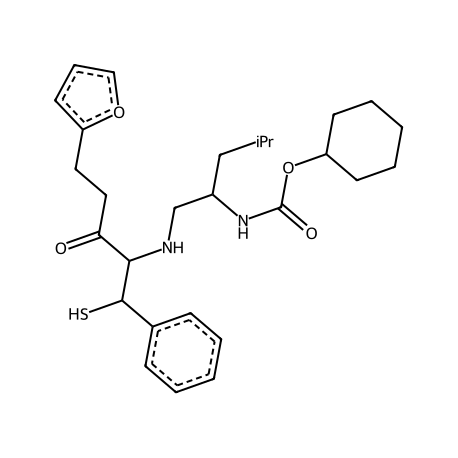 CC(C)CC(CNC(C(=O)CCc1ccco1)C(S)c1ccccc1)NC(=O)OC1CCCCC1